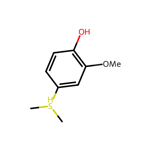 COc1cc([SH](C)C)ccc1O